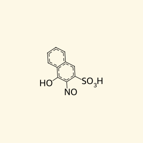 O=Nc1c(S(=O)(=O)O)cc2ccccc2c1O